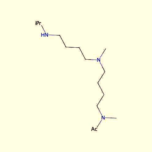 CC(=O)N(C)CCCCN(C)CCCCNC(C)C